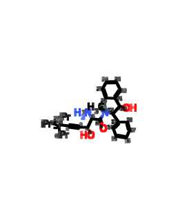 CC(C)[Si](C#C[C@@H](O)[C@H](N)C(=O)N(C)[C@H](c1ccccc1)[C@H](O)c1ccccc1)(C(C)C)C(C)C